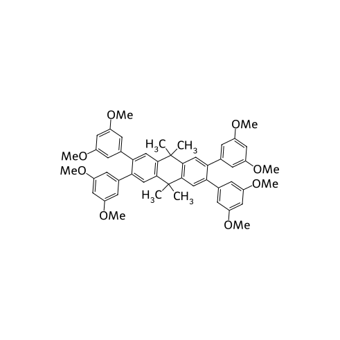 COc1cc(OC)cc(-c2cc3c(cc2-c2cc(OC)cc(OC)c2)C(C)(C)c2cc(-c4cc(OC)cc(OC)c4)c(-c4cc(OC)cc(OC)c4)cc2C3(C)C)c1